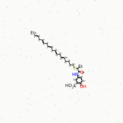 CCC=CCC=CCC=CCC=CCC=CCCCCS[C@@H](CC)C(=O)Nc1ccc(O)c(C(=O)O)c1